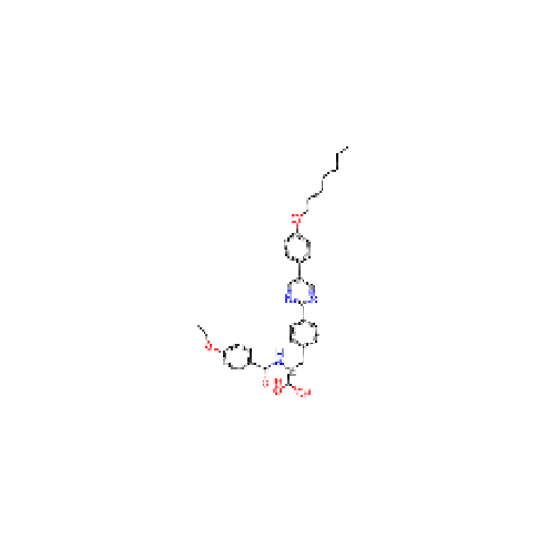 CCCCCCCOc1ccc(-c2cnc(-c3ccc(C[C@H](NC(=O)c4ccc(OCC)cc4)C(O)O)cc3)nc2)cc1